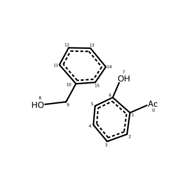 CC(=O)c1ccccc1O.OCc1ccccc1